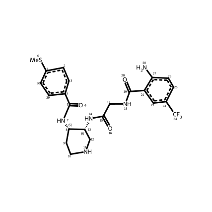 CSc1ccc(C(=O)N[C@H]2CCNC[C@H]2NC(=O)CNC(=O)c2cc(C(F)(F)F)ccc2N)cc1